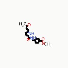 COC(=O)c1ccc(CNC(=O)c2ccc(/C=C/C(C)=O)[nH]2)cc1